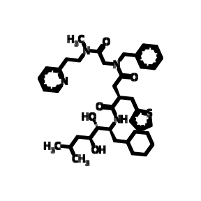 CC(C)C[C@H](O)[C@H](O)[C@H](CC1CCCCC1)NC(=O)[C@@H](CC(=O)N(CC(=O)N(C)CCc1ccccn1)Cc1ccccc1)Cc1cccs1